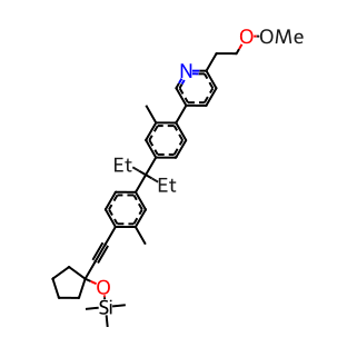 CCC(CC)(c1ccc(C#CC2(O[Si](C)(C)C)CCCC2)c(C)c1)c1ccc(-c2ccc(CCOOC)nc2)c(C)c1